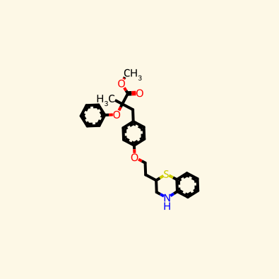 COC(=O)C(C)(Cc1ccc(OCCC2CNc3ccccc3S2)cc1)Oc1ccccc1